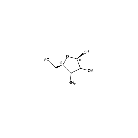 NC1C(O)[C@H](O)O[C@@H]1CO